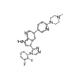 CN1CCN(c2ccc(-c3cnc4[nH]cc(-c5nncn5-c5cccc(F)c5F)c4c3)cn2)CC1